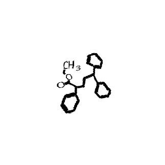 CCOC(=O)C(CCC(c1ccccc1)c1ccccc1)c1ccccc1